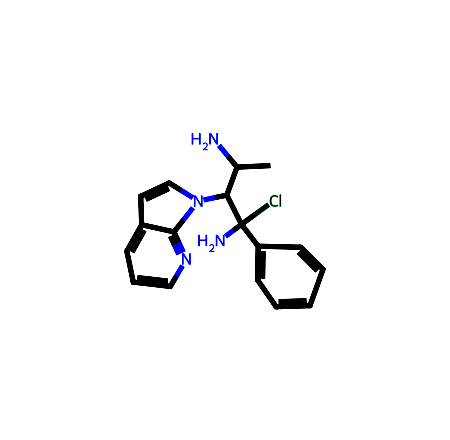 CC(N)C(n1ccc2cccnc21)C(N)(Cl)c1ccccc1